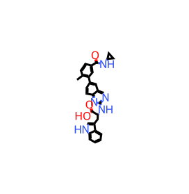 Cc1ccc(C(=O)NC2CC2)cc1-c1ccc2nc(NC(Cc3c[nH]c4ccccc34)C(=O)O)ncc2c1